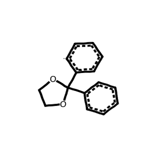 [c]1ccccc1C1(c2ccccc2)OCCO1